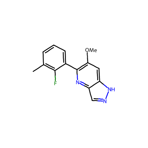 COc1cc2[nH]ncc2nc1-c1cccc(C)c1F